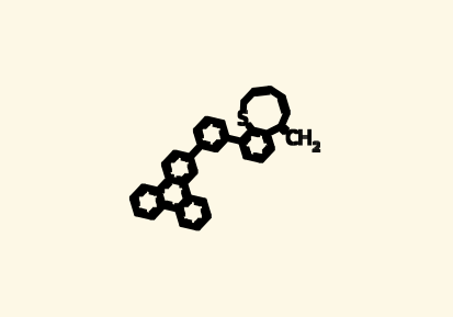 C=C1/C=C\C=C/CSc2c1cccc2-c1cccc(-c2ccc3c4ccccc4c4ccccc4c3c2)c1